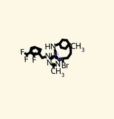 Cc1nc(NCc2cccc(C(F)F)c2F)c2/c(n1)=C(/Br)CCCC1(C)CCC(CC1)N/C=2